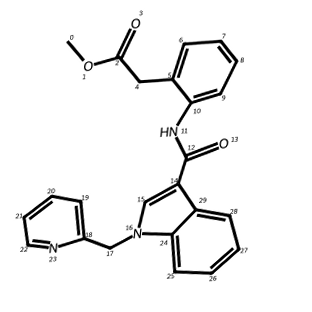 COC(=O)Cc1ccccc1NC(=O)c1cn(Cc2ccccn2)c2ccccc12